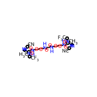 Cc1c(-c2ccnn2-c2ccc(C#N)cc2)cc(C(=O)NCCOCCOCCNC(=O)CCC(=O)NCCOCCOCCNC(=O)c2cc(-c3ccnn3-c3ccc(C#N)cc3)c(C)n(-c3cccc(C(F)(F)F)c3)c2=O)c(=O)n1-c1cccc(C(F)(F)F)c1